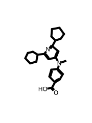 CN(c1ccc(C(=O)O)cc1)c1cc(C2CCCCC2)nc(C2CCCCC2)c1